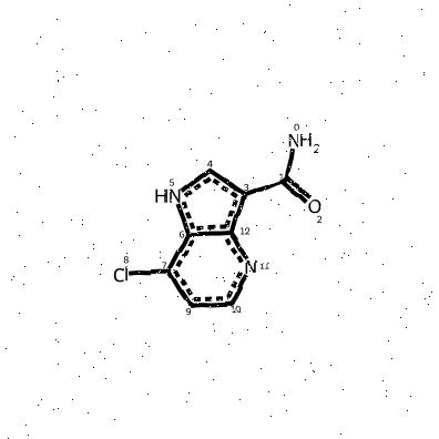 NC(=O)c1c[nH]c2c(Cl)ccnc12